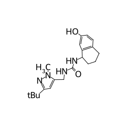 Cn1nc(C(C)(C)C)cc1CNC(=O)NC1CCCc2ccc(O)cc21